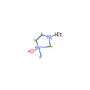 CCN1CC[N+](C)([O-])C1